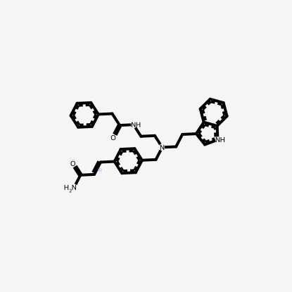 NC(=O)/C=C/c1ccc(CN(CCNC(=O)Cc2ccccc2)CCc2c[nH]c3ccccc23)cc1